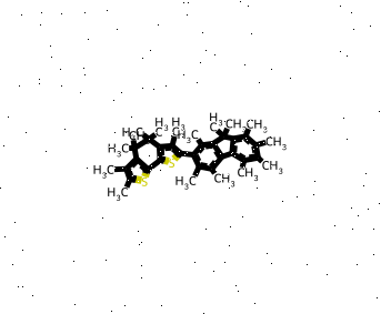 Cc1sc2c(c1C)C(C)(C)C(C)(C)c1c-2sc(-c2c(C)c(C)c3c(c2C)C(C)(C)c2c(C)c(C)c(C)c(C)c2-3)c1C